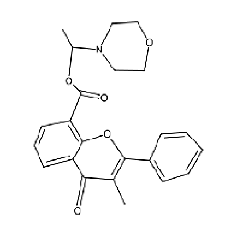 Cc1c(-c2ccccc2)oc2c(C(=O)OC(C)N3CCOCC3)cccc2c1=O